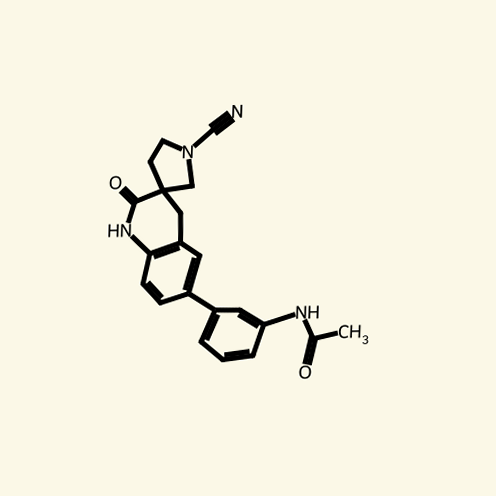 CC(=O)Nc1cccc(-c2ccc3c(c2)CC2(CCN(C#N)C2)C(=O)N3)c1